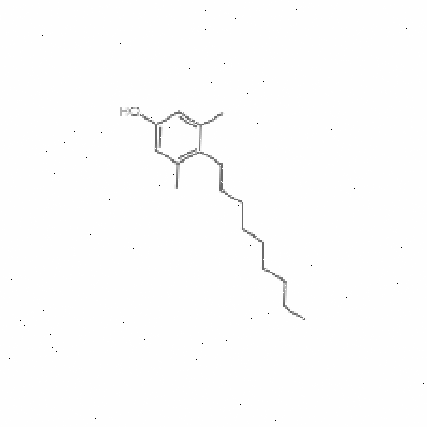 CCCCCCCCCc1c(C)cc(O)cc1C